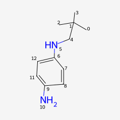 CC(C)(C)CNc1ccc(N)cc1